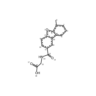 Cc1cccc2c1oc1ccc(C(=O)NCC(=O)O)cc12